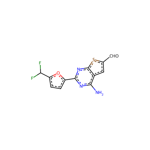 Nc1nc(-c2ccc(C(F)F)o2)nc2sc(C=O)cc12